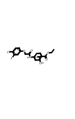 CCOC(=O)C12CCC(NC(=O)COc3ccc(Cl)c(F)c3)(CC1)CC2O